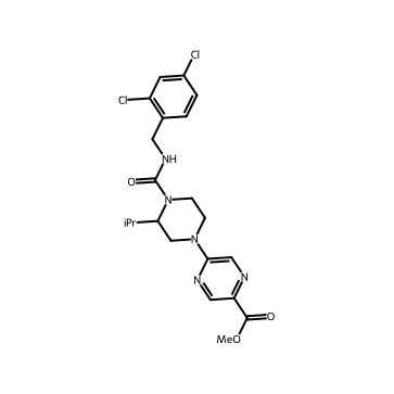 COC(=O)c1cnc(N2CCN(C(=O)NCc3ccc(Cl)cc3Cl)C(C(C)C)C2)cn1